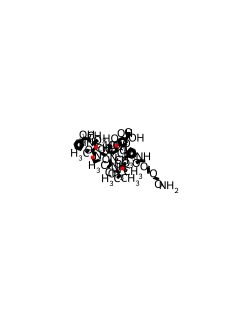 CC[C@H](C)[C@@H]([C@@H](CC(=O)N1CCC[C@H]1[C@H](OC)[C@@H](C)C(=O)N[C@H](C)[C@@H](O)c1ccccc1)OC)N(C)C(=O)[C@@H](NC(=O)[C@H](C(C)C)N(C)C(=O)OCc1cc(NC(=O)COCCOCCON)ccc1O[C@@H]1OC(C(=O)O)[C@@H](O)[C@H](O)C1O)C(C)C